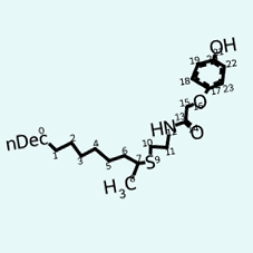 CCCCCCCCCCCCCCCCC(C)SCCNC(=O)COc1ccc(O)cc1